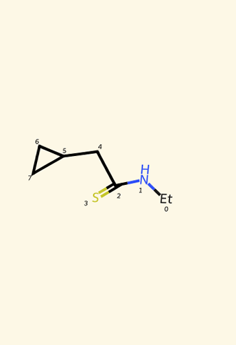 CCNC(=S)CC1CC1